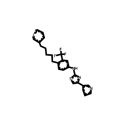 FC(F)(F)c1cc(Nc2nc(-c3cccnc3)cs2)ccc1CCCCCc1ccccc1